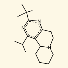 CC(C)c1nc(C(C)(C)C)nc2c1C1CCCCN1CC2